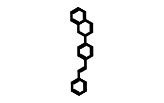 C(=Cc1ccc(C2C=Cc3ccccc3C2)cc1)c1ccccc1